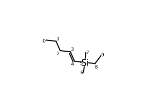 CCCC=C[Si](C)(C)CC